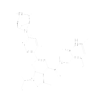 Cc1cc(C)c(CNC(=O)c2cc(-c3ccc(N4CC5CC4CN5)nc3)cc3c2c(C)cn3C(C)C)c(=O)[nH]1